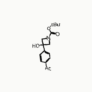 CC(=O)c1ccc(C2(O)CN(C(=O)OC(C)(C)C)C2)cc1